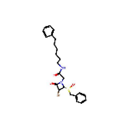 O=C(CN1C(=O)C(Br)[C@H]1[S+]([O-])Cc1ccccc1)NCCCCCCc1ccccc1